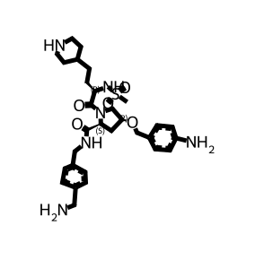 CS(=O)(=O)N[C@H](CCC1CCNCC1)C(=O)N1C[C@H](OCc2ccc(N)cc2)C[C@H]1C(=O)NCc1ccc(CN)cc1